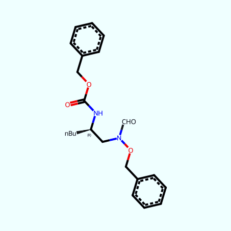 CCCC[C@H](CN(C=O)OCc1ccccc1)NC(=O)OCc1ccccc1